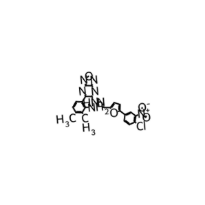 Cc1ccc(-c2nc3nonc3nc2NN=Cc2ccc(-c3ccc(Cl)c([N+](=O)[O-])c3)o2)c(N)c1C